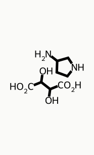 NC1CCNC1.O=C(O)C(O)C(O)C(=O)O